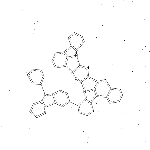 c1ccc(-n2c3ccccc3c3cc(-c4cccc5c6c7ccccc7cc7c8nc9c(cc8n(c45)c76)c4cccc5c6ccccc6n9c54)ccc32)cc1